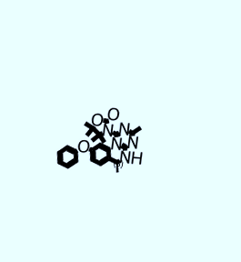 Cc1nc(N[C@@H](C)c2ccc(Oc3ccccc3)cc2)nc(N2C(=O)OC(C)(C)C2(C)C)n1